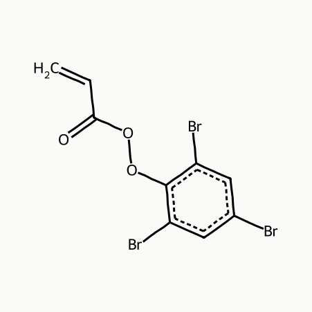 C=CC(=O)OOc1c(Br)cc(Br)cc1Br